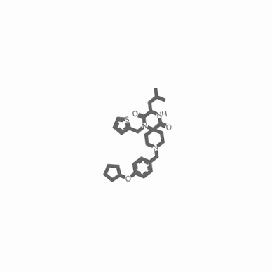 CC(C)CC1NC(=O)C2(CCN(Cc3ccc(OC4CCCC4)cc3)CC2)N(Cc2cccs2)C1=O